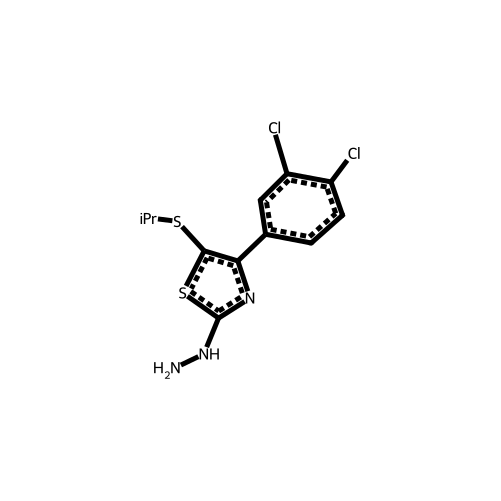 CC(C)Sc1sc(NN)nc1-c1ccc(Cl)c(Cl)c1